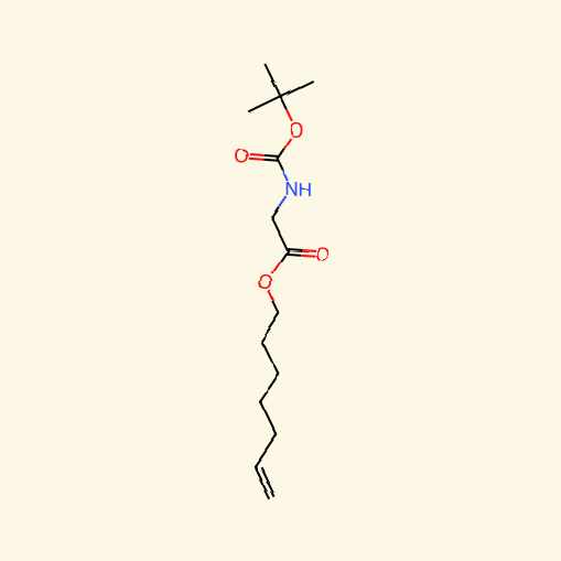 C=CCCCCCOC(=O)CNC(=O)OC(C)(C)C